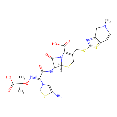 CN1C=Cc2sc(SCC3=C(C(=O)O)N4C(=O)C(NC(=O)/C(=N/OC(C)(C)C(=O)O)N5C=C(N)SC5)[C@H]4SC3)nc2C1